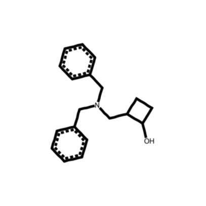 OC1CCC1CN(Cc1ccccc1)Cc1ccccc1